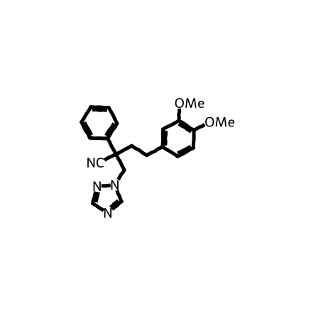 COc1ccc(CCC(C#N)(Cn2cncn2)c2ccccc2)cc1OC